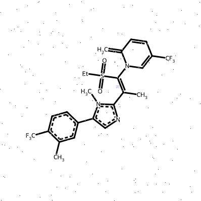 C=C1C=CC(C(F)(F)F)=CN1/C(=C(\C)c1ncc(-c2ccc(C(F)(F)F)c(C)c2)n1C)S(=O)(=O)CC